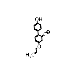 C=CCOC1=CC=C(c2ccc(O)cc2)C(=C=O)C1